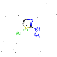 Cl.Cl.NNc1nccs1